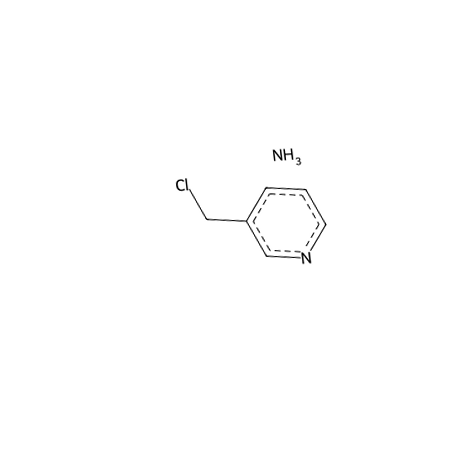 ClCc1cccnc1.N